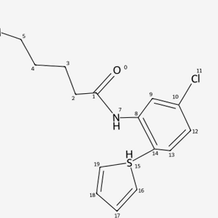 O=C(CCCCCl)Nc1cc(Cl)ccc1[SH]1C=CC=C1